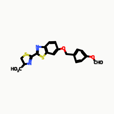 O=COc1ccc(COc2ccc3nc(C4=NC(C(=O)O)CS4)sc3c2)cc1